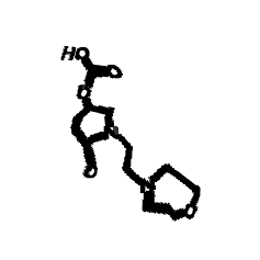 O=C(O)OC1CC(=O)N(CCN2CCOCC2)C1